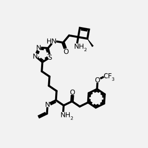 C=C/N=C(/CCCCc1nnc(NC(=O)CC2(N)C=C[C@H]2C)s1)C(N)C(=O)Cc1cccc(OC(F)(F)F)c1